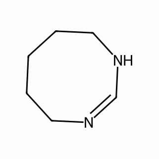 C1=N\CCCCCN/1